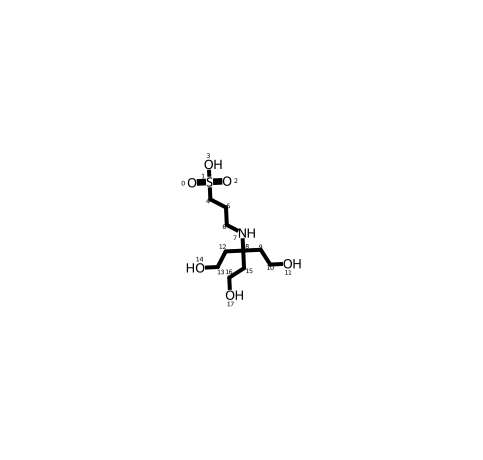 O=S(=O)(O)CCCNC(CCO)(CCO)CCO